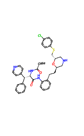 COC(=O)NC(C(=O)Nc1ccccc1CC[C@@H]1CNC[C@@H](CSc2ccc(Cl)cc2)O1)[C@H](c1ccccc1)c1ccncc1